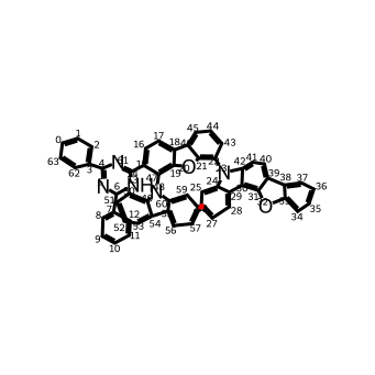 c1ccc(C2=NC(c3ccccc3)NC(c3ccc4c(oc5c(-n6c7ccccc7c7c8oc9ccccc9c8ccc76)cccc54)c3-n3c4ccccc4c4ccccc43)=N2)cc1